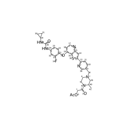 CC(=O)OCC(=O)N1CCN(Cc2ccc(-c3cc4nccc(Oc5ccc(NC(=O)NC6CC6)cc5F)c4s3)nc2)CC1C